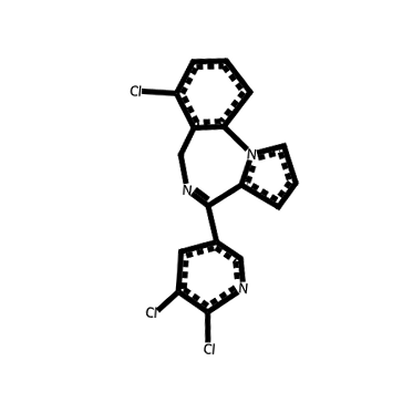 Clc1cc(C2=NCc3c(Cl)cccc3-n3cccc32)cnc1Cl